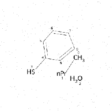 CCCC.O.Sc1ccccc1